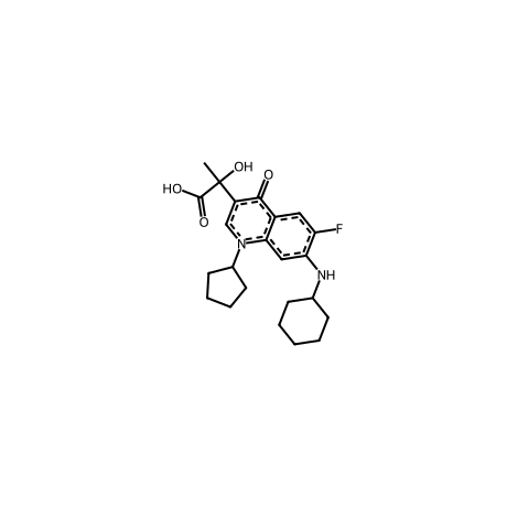 CC(O)(C(=O)O)c1cn(C2CCCC2)c2cc(NC3CCCCC3)c(F)cc2c1=O